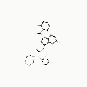 Cc1c(CC(=O)N(c2nccs2)C2CCCCC2)c2cc(O)ccc2n1C(=O)c1ccccc1Cl